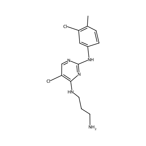 Cc1ccc(Nc2ncc(Cl)c(NCCCN)n2)cc1Cl